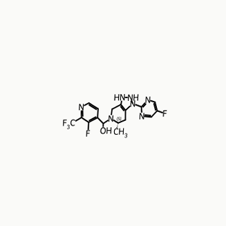 C[C@H]1CC2=C(CN1C(O)c1ccnc(C(F)(F)F)c1F)NNN2c1ncc(F)cn1